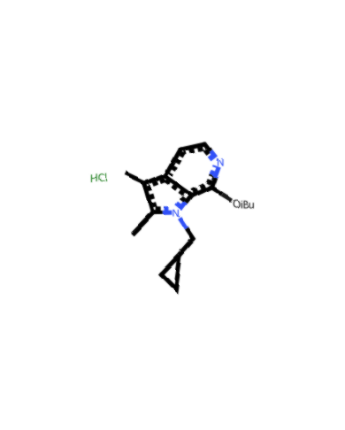 Cc1c(C)n(CC2CC2)c2c(OCC(C)C)nccc12.Cl